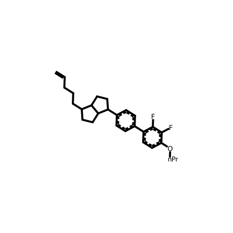 C=CCCCC1CCC2C(c3ccc(-c4ccc(OCCC)c(F)c4F)cc3)CCC12